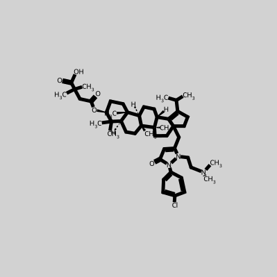 CC(C)C1=C2[C@H]3CC[C@@H]4[C@@]5(C)CC[C@H](OC(=O)CC(C)(C)C(=O)O)C(C)(C)[C@@H]5CC[C@@]4(C)[C@]3(C)CCC2(Cc2cc(=O)n(-c3ccc(Cl)cc3)n2CCN(C)C)CC1